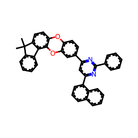 CC1(C)c2ccccc2-c2c1ccc1c2Oc2cc(-c3cc(-c4cccc5ccccc45)nc(-c4ccccc4)n3)ccc2O1